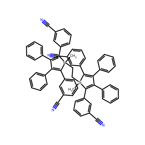 C[Si]1(CC[Si]2(C)C(c3cccc(C#N)c3)=C(c3ccccc3)C(c3ccccc3)=C2c2cccc(C#N)c2)C(c2cccc(C#N)c2)=C(c2ccccc2)C(c2ccccc2)=C1c1cccc(C#N)c1